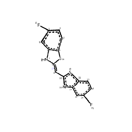 Fc1ccc2c(c1)N/C(=C/c1nc3cc(F)ccc3s1)S2